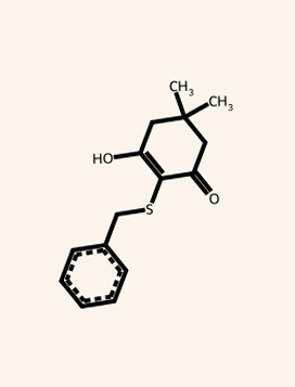 CC1(C)CC(=O)C(SCc2ccccc2)=C(O)C1